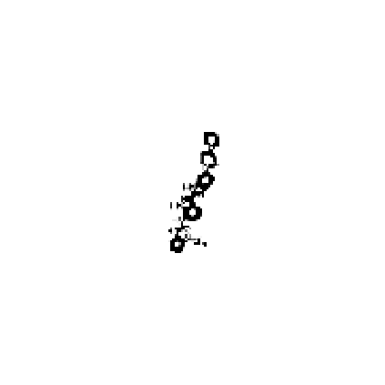 O=C(Nc1ccccc1OC(F)(F)F)Nc1cccc2c(-c3nc4ccc(N5CCC(N6CCCCC6)CC5)cc4[nH]3)n[nH]c12